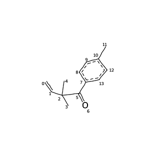 C=CC(C)(C)C(=O)c1ccc(C)cc1